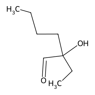 CCCCC(O)(C=O)CC